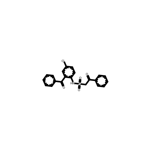 O=C(CS(=O)(=O)Nc1ccc(Cl)cc1C(=O)c1ccccc1)c1ccccc1